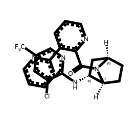 O=C(c1ncccc1-c1ncccn1)N1[C@@H]2CC[C@H]1[C@H](Nc1ncc(C(F)(F)F)cc1Cl)C2